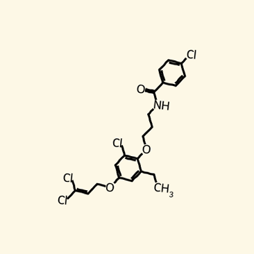 CCc1cc(OCC=C(Cl)Cl)cc(Cl)c1OCCCNC(=O)c1ccc(Cl)cc1